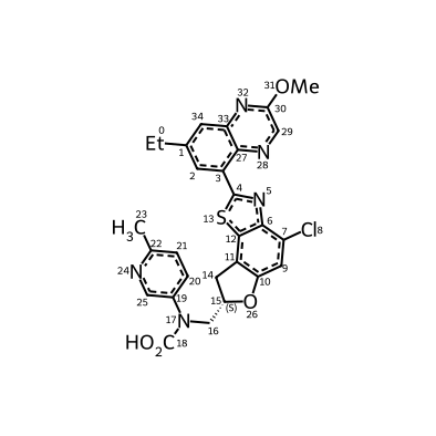 CCc1cc(-c2nc3c(Cl)cc4c(c3s2)C[C@@H](CN(C(=O)O)c2ccc(C)nc2)O4)c2ncc(OC)nc2c1